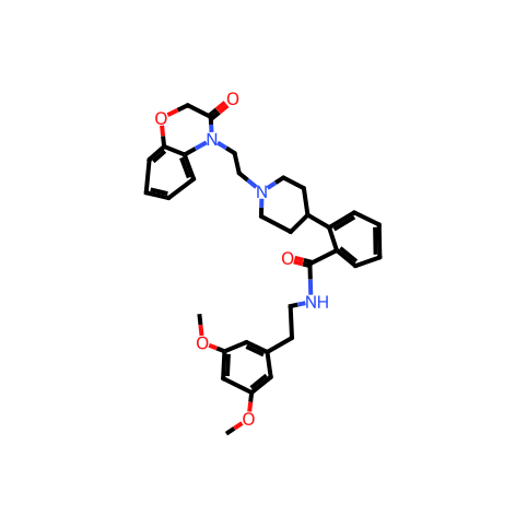 COc1cc(CCNC(=O)c2ccccc2C2CCN(CCN3C(=O)COc4ccccc43)CC2)cc(OC)c1